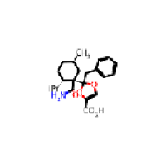 CC(C)[C@@H]1CC[C@@H](C)C[C@@]1(C(N)=O)C1(Cc2ccccc2)OC=C(C(=O)O)O1